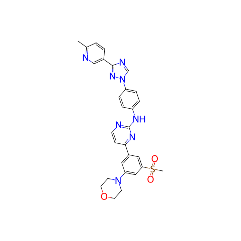 Cc1ccc(-c2ncn(-c3ccc(Nc4nccc(-c5cc(N6CCOCC6)cc(S(C)(=O)=O)c5)n4)cc3)n2)cn1